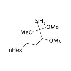 CCCCCCCCC(OC)C([SiH3])(OC)OC